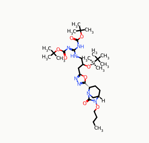 CCCCON1C(=O)N2C[C@@H]1CC[C@H]2c1nnc(CC(CN/C(=N\C(=O)OC(C)(C)C)NC(=O)OC(C)(C)C)O[Si](C)(C)C(C)(C)C)o1